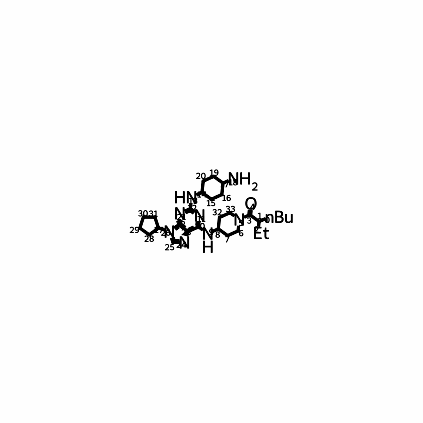 CCCCC(CC)C(=O)N1CCC(Nc2nc(NC3CCC(N)CC3)nc3c2ncn3C2CCCC2)CC1